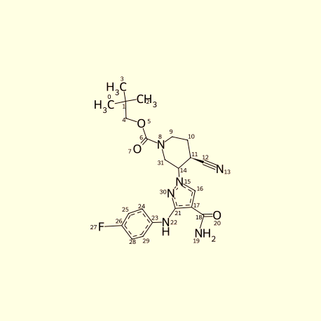 CC(C)(C)COC(=O)N1CC[C@@H](C#N)C(n2cc(C(N)=O)c(Nc3ccc(F)cc3)n2)C1